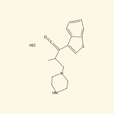 CC(CN1CCNCC1)C(=C=O)c1csc2ccccc12.Cl